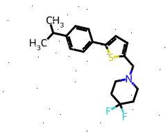 CC(C)c1ccc(-c2ccc(CN3CCC(F)(F)CC3)s2)cc1